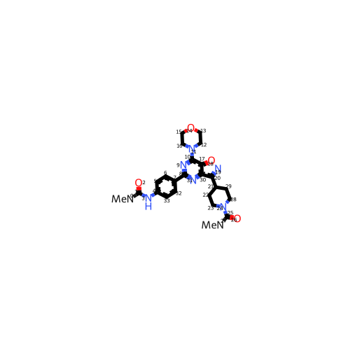 CNC(=O)Nc1ccc(-c2nc(N3CCOCC3)c3onc(C4CCN(C(=O)NC)CC4)c3n2)cc1